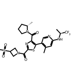 Cc1cc(N[C@@H](C)C(F)(F)F)ncc1-c1sc(C(=O)N2CC(S(C)(=O)=O)C2)nc1C(=O)N1CCC[C@@H]1C